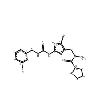 CN(Cc1nc(NC(=O)NCc2cccc(F)c2)sc1F)C(=O)[C@H]1CCCO1